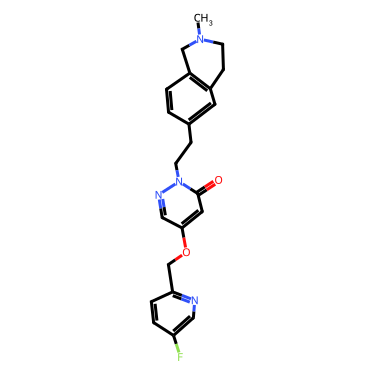 CN1CCc2cc(CCn3ncc(OCc4ccc(F)cn4)cc3=O)ccc2C1